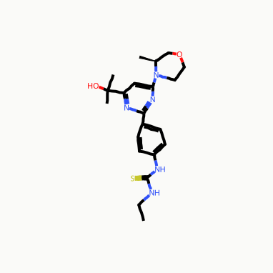 CCNC(=S)Nc1ccc(-c2nc(N3CCOC[C@@H]3C)cc(C(C)(C)O)n2)cc1